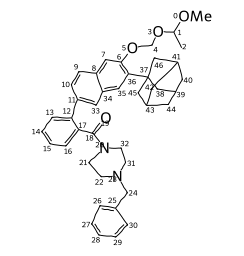 COC(C)OCOc1cc2ccc(-c3ccccc3C(=O)N3CCN(Cc4ccccc4)CC3)cc2cc1C12CC3CC(CC(C3)C1)C2